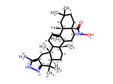 CC1(C)CC[C@]2(C(=O)NO)CC[C@]3(C)C(=CCC4[C@@]5(C)Cc6c(n[nH]c6N)C(C)(C)[C@@H]5CC[C@]43C)[C@@H]2C1